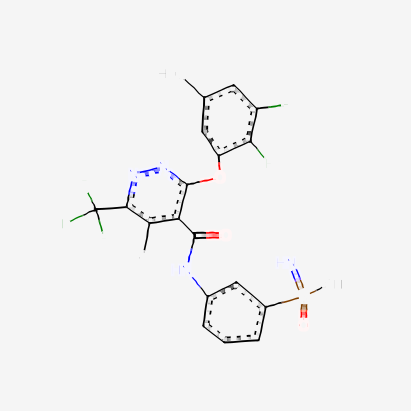 Cc1cc(F)c(F)c(Oc2nnc(C(F)(F)F)c(C)c2C(=O)Nc2cccc(S(C)(=N)=O)c2)c1